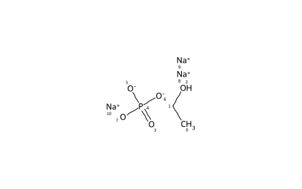 CCO.O=P([O-])([O-])[O-].[Na+].[Na+].[Na+]